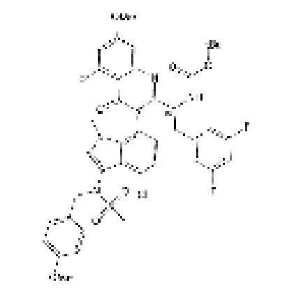 COc1ccc(CN(c2nn(C)c3c(-n4c([C@H](Cc5cc(F)cc(F)c5)NC(=O)OC(C)(C)C)nc5cc(OC)cc(F)c5c4=O)ccc(Cl)c23)S(C)(=O)=O)cc1